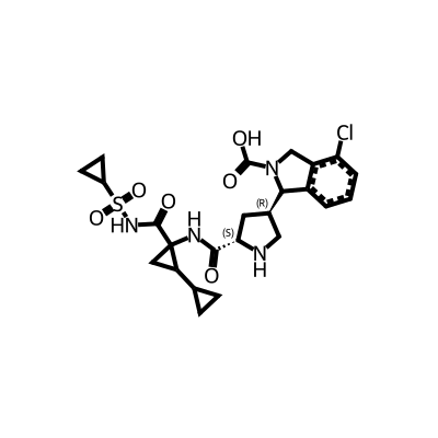 O=C(NC1(C(=O)NS(=O)(=O)C2CC2)CC1C1CC1)[C@@H]1C[C@@H](C2c3cccc(Cl)c3CN2C(=O)O)CN1